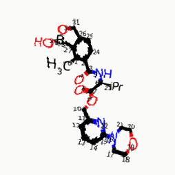 Cc1c(C(=O)N[C@H](C(=O)OCc2cccc(N3CCOCC3)n2)C(C)C)ccc2c1B(O)OC2